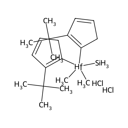 CC(C)(C)C1=[C]([Hf]([CH3])([CH3])([SiH3])[C]2=C(C(C)(C)C)C=CC2)CC=C1.Cl.Cl